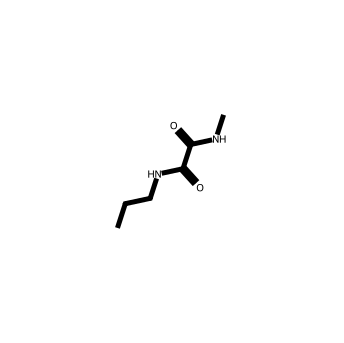 CCCNC(=O)C(=O)NC